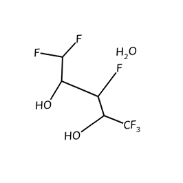 O.OC(C(F)F)C(F)C(O)C(F)(F)F